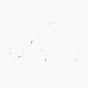 CC[C@H](C)[C@H](NC(=O)[C@@H](CCCNC(=N)N)NC(=O)[C@H](N)CCCNC(=N)N)C(=O)O